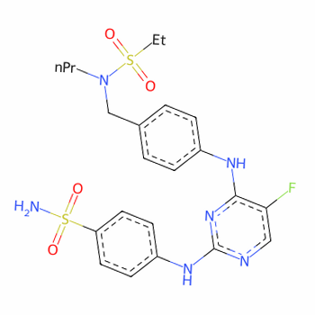 CCCN(Cc1ccc(Nc2nc(Nc3ccc(S(N)(=O)=O)cc3)ncc2F)cc1)S(=O)(=O)CC